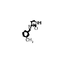 Cc1cccc(/C=N/N2CCNC2=O)c1